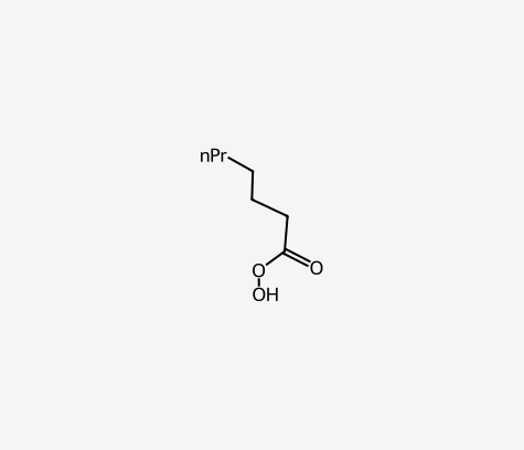 CCCCCCC(=O)OO